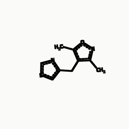 Cc1noc(C)c1Cc1cscn1